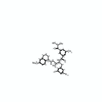 CCCN(CCC)C(=O)c1cc(C)cc(C(=O)N[C@@H](Cc2cc(F)cc(F)c2)[C@@H](O)CN[C@@H]2CCCc3cc(OC)ccc32)c1